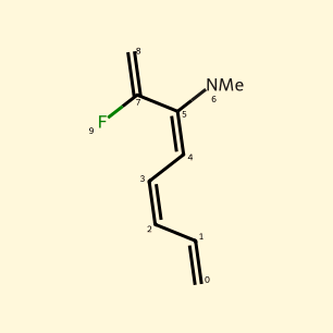 C=C/C=C\C=C(\NC)C(=C)F